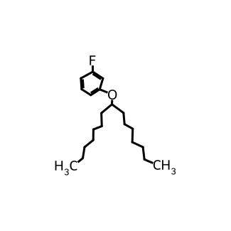 CCCCCCCC(CCCCCCC)Oc1cccc(F)c1